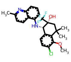 COc1c(Cl)ccc2c1C(C)(C)C[C@](O)(C(F)(F)F)[C@H]2Nc1cccc2nc(C)ccc12